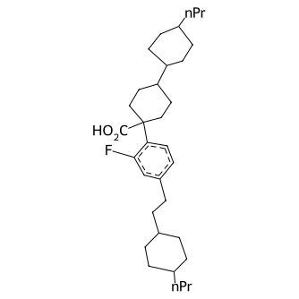 CCCC1CCC(CCc2ccc(C3(C(=O)O)CCC(C4CCC(CCC)CC4)CC3)c(F)c2)CC1